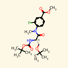 COC(=O)c1ccc(N(C)C(=O)[C@H](COC(C)(C)C)NC(=O)OC(C)(C)C)c(F)c1